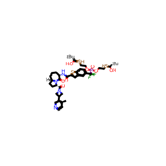 Cc1ccncc1C1CN(C(=O)[C@@H]2CC[C@@H]3CCC[C@H](NC(=O)c4cc5cc(C(F)(F)P(=O)(OCC[SH]=C(O)C(C)(C)C)OCC[SH]=C(O)C(C)(C)C)ccc5s4)C(=O)N32)C1